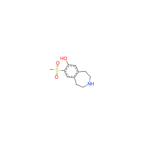 CS(=O)(=O)c1cc2c(cc1O)CCNCC2